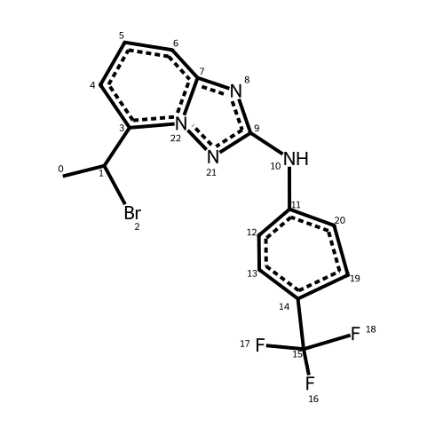 CC(Br)c1cccc2nc(Nc3ccc(C(F)(F)F)cc3)nn12